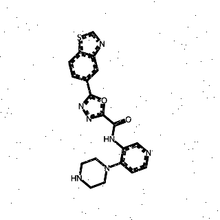 O=C(Nc1cnccc1N1CCNCC1)c1nnc(-c2ccc3scnc3c2)o1